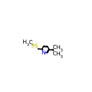 CSSCc1ccc(C(C)C)cn1